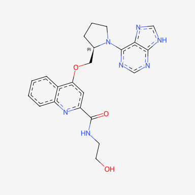 O=C(NCCO)c1cc(OC[C@H]2CCCN2c2ncnc3[nH]cnc23)c2ccccc2n1